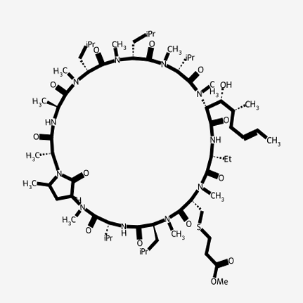 C/C=C/C[C@@H](C)[C@@H](O)[C@@H]1C(=O)N[C@H](CC)C(=O)N(C)[C@H](CSCCC(=O)OC)C(=O)N(C)[C@@H](CC(C)C)C(=O)N[C@H](C(C)C)C(=O)N(C)[C@@H]2CC(C)N(C2=O)[C@H](C)C(=O)N[C@@H](C)C(=O)N(C)[C@H](CC(C)C)C(=O)N(C)[C@H](CC(C)C)C(=O)N(C)[C@H](C(C)C)C(=O)N1C